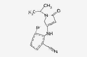 CC(C)N1CC(Nc2c(Br)cccc2C#N)=CC1=O